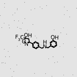 Oc1cccc(CNCc2ccc(C3=NOC(O)(C(F)(F)F)C3)cc2)c1